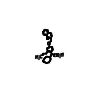 C=CCc1cc(OCc2ccc3ccccc3n2)ccc1C(C(=O)O)C1CCCCCC1